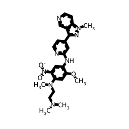 COc1cc(N(C)CCN(C)C)c([N+](=O)[O-])cc1Nc1cc(-c2nn(C)c3ccncc23)ccn1